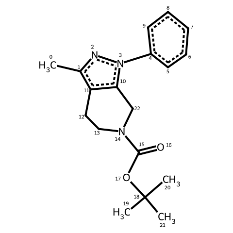 Cc1nn(-c2ccccc2)c2c1CCN(C(=O)OC(C)(C)C)C2